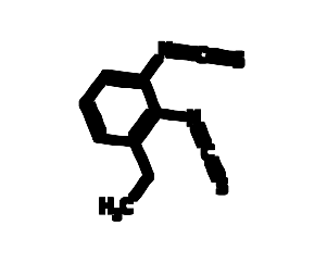 CCc1cccc(N=C=S)c1N=C=S